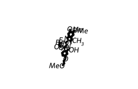 COCCOc1ccc2nc(Nc3nc(C)c4cc(OC)c(OC)cc4n3)nc(O)c2c1.O=C(O)C(F)(F)F